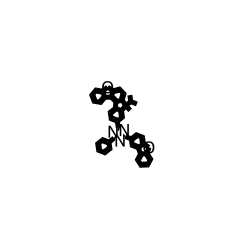 CC(C)C1(C)c2cc(-c3nc(-c4ccccc4)nc(-c4ccc5oc6ccccc6c5c4)n3)ccc2-c2c1ccc1oc3ccccc3c21